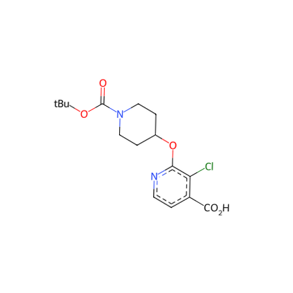 CC(C)(C)OC(=O)N1CCC(Oc2nccc(C(=O)O)c2Cl)CC1